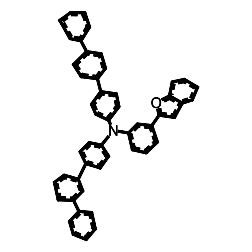 c1ccc(-c2ccc(-c3ccc(N(c4ccc(-c5cccc(-c6ccccc6)c5)cc4)c4cccc(-c5cc6ccccc6o5)c4)cc3)cc2)cc1